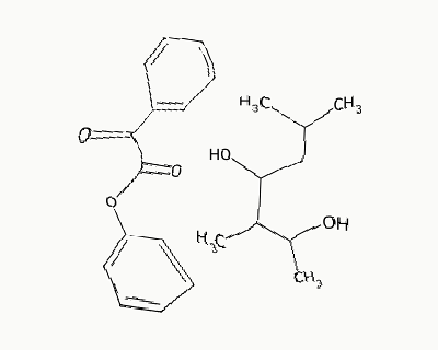 CC(C)CC(O)C(C)C(C)O.O=C(Oc1ccccc1)C(=O)c1ccccc1